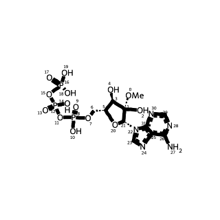 CO[C@@]1(O)[C@H](O)[C@@H](COP(=O)(O)OP(=O)(O)OP(=O)(O)O)O[C@H]1n1cnc2c(N)ncnc21